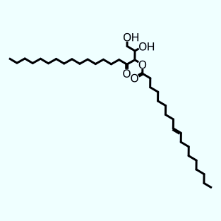 CCCCCCCCC=CCCCCCCCC(=O)OC(C(=O)CCCCCCCCCCCCCCC)C(O)CO